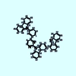 c1cc(-c2ccnc(-n3c4ccccc4c4cc(-c5cccc6c5sc5ccccc56)ccc43)n2)cc(-n2c3ccccc3c3ccccc32)c1